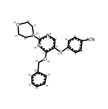 N#Cc1ccc(Sc2cnc(N3CCOCC3)nc2OCc2ccccc2)cc1